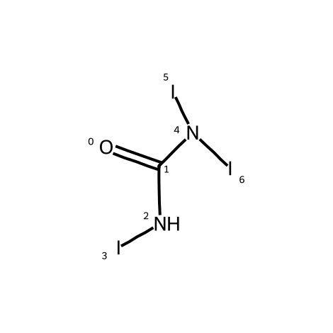 O=C(NI)N(I)I